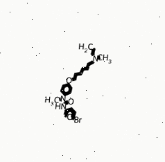 C=CCN(C)CCCCCCCO[C@H]1CC[C@H](N(C)C(=O)Nc2ccc(Br)cc2)CC1